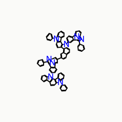 c1ccc(-c2nc3cccc4c5ccc(-n6c7ccc8ccc(-c9cc%10nc(-c%11ccccc%11)c%11c%12cc(-n%13c%14ccccc%14c%14ccc%15c(c%16ccccc%16n%15-c%15ccccc%15)c%14%13)ccc%12c(c9)n%10%11)cc8c7c7ccc8c(c9ccccc9n8-c8ccccc8)c76)cc5c2n34)cc1